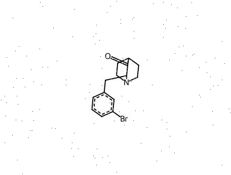 O=C1C2CCN(CC2)C1Cc1cccc(Br)c1